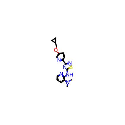 CN(C)c1cccnc1Nc1nc(-c2ccc(OCC3CC3)cn2)ns1